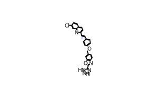 Clc1ccc2ccc(/C=C/c3ccc(OCc4ccc5nc(-c6nnn[nH]6)oc5c4)cc3)nc2c1